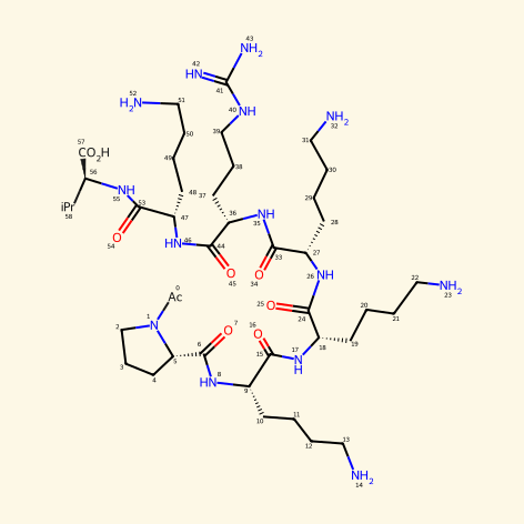 CC(=O)N1CCC[C@H]1C(=O)N[C@@H](CCCCN)C(=O)N[C@@H](CCCCN)C(=O)N[C@@H](CCCCN)C(=O)N[C@@H](CCCNC(=N)N)C(=O)N[C@@H](CCCCN)C(=O)N[C@H](C(=O)O)C(C)C